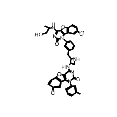 Cc1cccc(-n2c(=O)nc(NC3CNC3Cc3cccc(-n4c(=O)nc(NC(C)CO)c5oc6ccc(Cl)cc6c54)c3)c3oc4ccc(Cl)cc4c32)c1